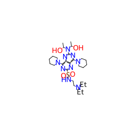 CCN(CC)CCNS(=O)(=O)c1nc(N2CCCCC2)c2nc(N(C(C)O)C(C)O)nc(N3CCCCC3)c2n1